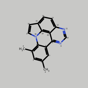 Cc1cc(C)c2c(c1)c1ncnc3ccc4ccn2c4c31